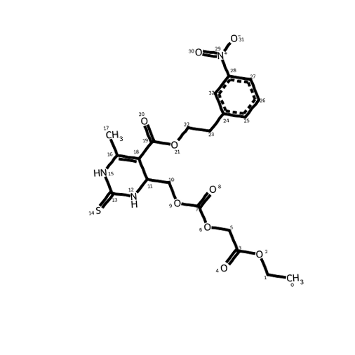 CCOC(=O)COC(=O)OCC1NC(=S)NC(C)=C1C(=O)OCCc1cccc([N+](=O)[O-])c1